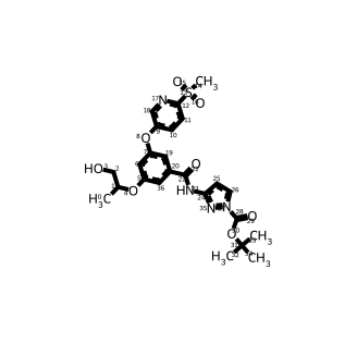 CC(CO)Oc1cc(Oc2ccc(S(C)(=O)=O)nc2)cc(C(=O)Nc2ccn(C(=O)OC(C)(C)C)n2)c1